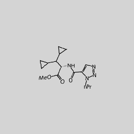 CCCn1nncc1C(=O)N[C@H](C(=O)OC)C(C1CC1)C1CC1